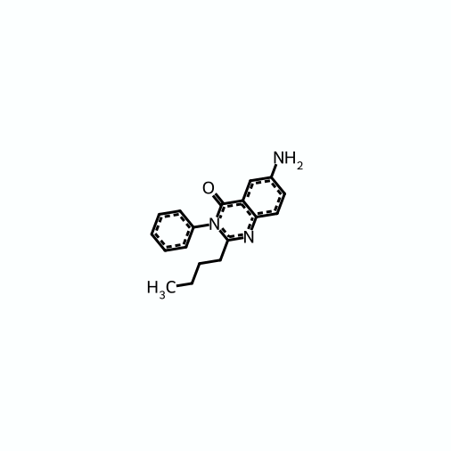 CCCCc1nc2ccc(N)cc2c(=O)n1-c1ccccc1